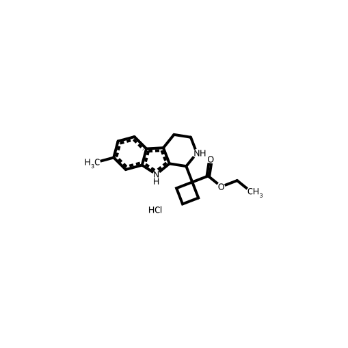 CCOC(=O)C1(C2NCCc3c2[nH]c2cc(C)ccc32)CCC1.Cl